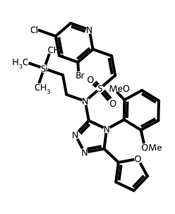 COc1cccc(OC)c1-n1c(-c2ccco2)nnc1N(CC[Si](C)(C)C)S(=O)(=O)/C=C\c1ncc(Cl)cc1Br